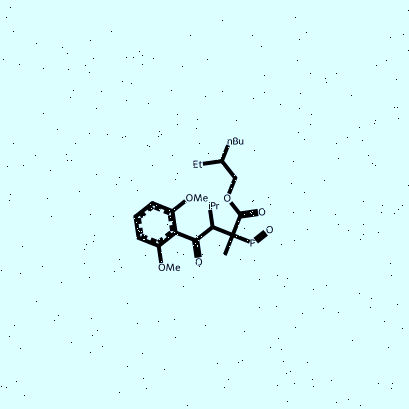 CCCCC(CC)COC(=O)C(C)(P=O)C(C(=O)c1c(OC)cccc1OC)C(C)C